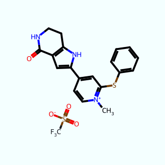 C[n+]1ccc(-c2cc3c([nH]2)CCNC3=O)cc1Sc1ccccc1.O=S(=O)([O-])C(F)(F)F